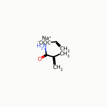 C=C(C)C(N)=O.C=CC(=O)[O-].[Na+]